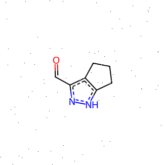 O=Cc1n[nH]c2c1CCC2